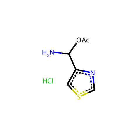 CC(=O)OC(N)c1cscn1.Cl